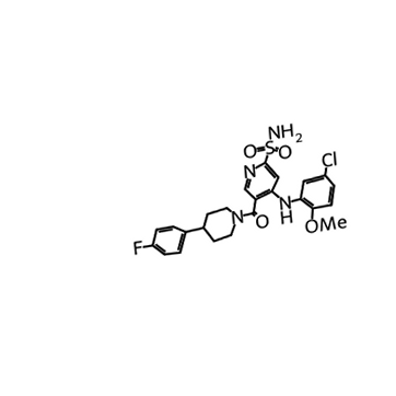 COc1ccc(Cl)cc1Nc1cc(S(N)(=O)=O)ncc1C(=O)N1CCC(c2ccc(F)cc2)CC1